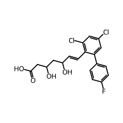 O=C(O)CC(O)CC(O)C=Cc1c(Cl)cc(Cl)cc1-c1ccc(F)cc1